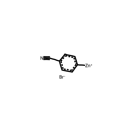 N#Cc1cc[c]([Zn+])cc1.[Br-]